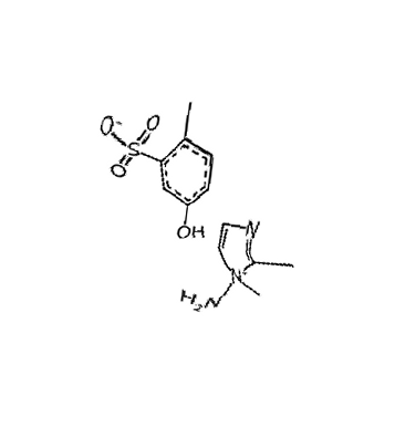 CC1=NC=C[N+]1(C)N.Cc1ccc(O)cc1S(=O)(=O)[O-]